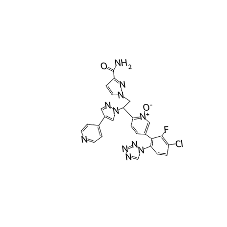 NC(=O)c1ccn(CC(c2ccc(-c3c(-n4cnnn4)ccc(Cl)c3F)c[n+]2[O-])n2cc(-c3ccncc3)cn2)n1